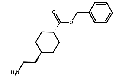 NCC[C@H]1CC[C@H](C(=O)OCc2ccccc2)CC1